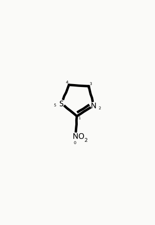 O=[N+]([O-])C1=N[C]CS1